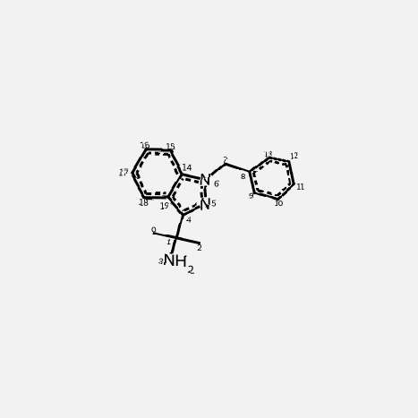 CC(C)(N)c1nn(Cc2ccccc2)c2ccccc12